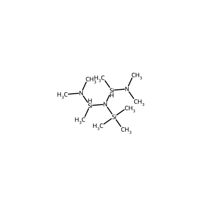 CN(C)[SiH](C)N([SiH](C)N(C)C)[Si](C)(C)C